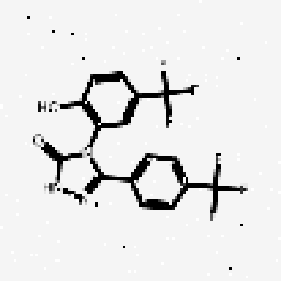 O=c1[nH]nc(-c2ccc(C(F)(F)F)cc2)n1-c1cc(C(F)(F)F)ccc1O